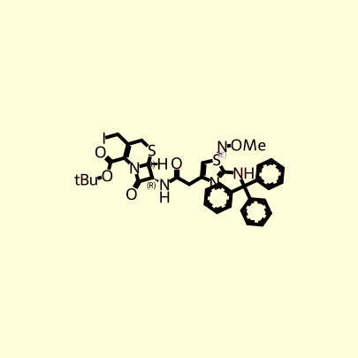 CO/N=S1/C=C(CC(=O)N[C@@H]2C(=O)N3C(C(=O)OC(C)(C)C)=C(CI)CS[C@H]23)N=C1NC(c1ccccc1)(c1ccccc1)c1ccccc1